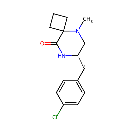 CN1C[C@H](Cc2ccc(Cl)cc2)NC(=O)C12CCC2